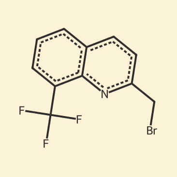 FC(F)(F)c1cccc2ccc(CBr)nc12